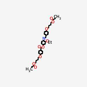 C=CC(=O)OCCCCOc1ccc(/C=N/c2ccc(OC(=O)c3ccc(OCCCCOC(=O)C=C)cc3)cc2OCC)cc1